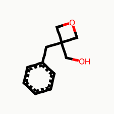 OCC1(Cc2ccccc2)COC1